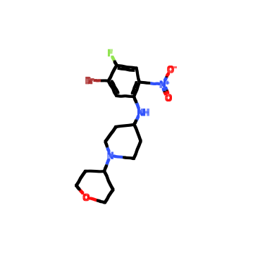 O=[N+]([O-])c1cc(F)c(Br)cc1NC1CCN(C2CCOCC2)CC1